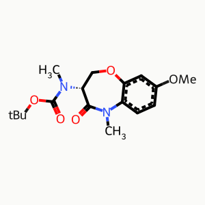 COc1ccc2c(c1)OC[C@@H](N(C)C(=O)OC(C)(C)C)C(=O)N2C